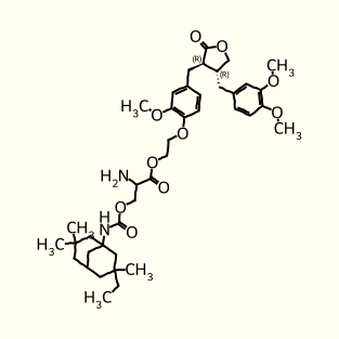 CCC1(C)CC2CC(C)(C)CC(NC(=O)OCC(N)C(=O)OCCOc3ccc(C[C@H]4C(=O)OC[C@@H]4Cc4ccc(OC)c(OC)c4)cc3OC)(C2)C1